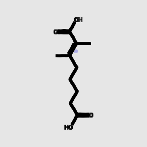 C/C(CCCCC(=O)O)=C(/C)C(=O)O